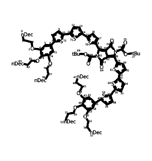 CCCCCCCCCCCCOc1cc(-c2ccc(-c3ccc(-c4ccc(C5=C6C(=O)N(C(=O)OC(C)(C)C)C(c7ccc(-c8ccc(-c9ccc(-c%10cc(OCCCCCCCCCCCC)c(OCCCCCCCCCCCC)c(OCCCCCCCCCCCC)c%10)s9)s8)s7)=C6C(=O)N5C(=O)OC(C)(C)C)s4)s3)s2)cc(OCCCCCCCCCCCC)c1OCCCCCCCCCCCC